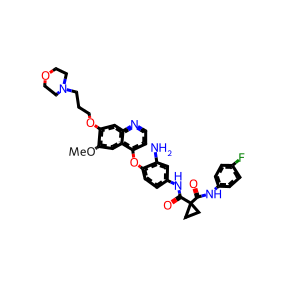 COc1cc2c(Oc3ccc(NC(=O)C4(C(=O)Nc5ccc(F)cc5)CC4)cc3N)ccnc2cc1OCCCN1CCOCC1